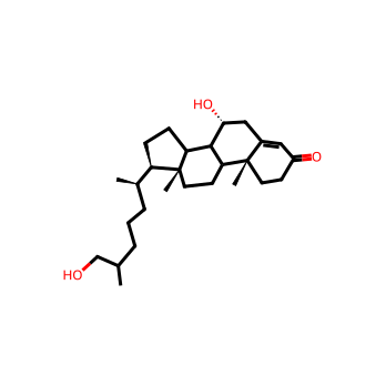 CC(CO)CCC[C@@H](C)[C@H]1CCC2C3C(CC[C@@]21C)[C@@]1(C)CCC(=O)C=C1C[C@H]3O